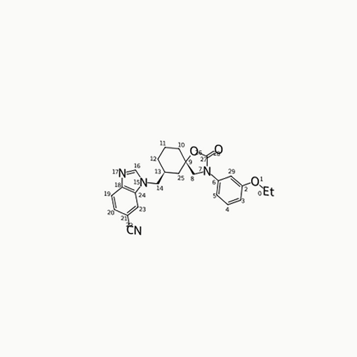 CCOc1cccc(N2C[C@@]3(CCC[C@H](Cn4cnc5ccc(C#N)cc54)C3)OC2=O)c1